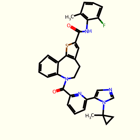 Cc1cccc(F)c1NC(=O)c1cc2c(s1)-c1ccccc1N(C(=O)c1cccc(-c3cncn3C3(C)CC3)n1)CC2